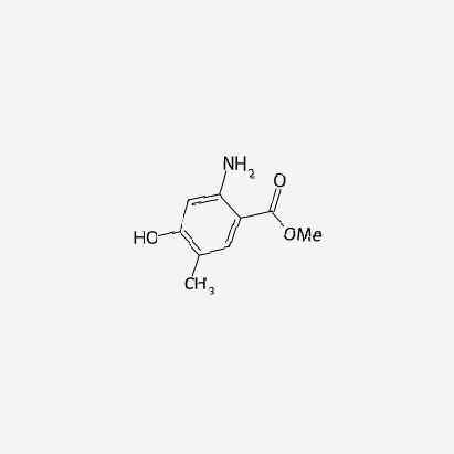 COC(=O)c1cc(C)c(O)cc1N